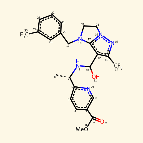 COC(=O)c1ccc([C@H](C)NC(O)c2c(C(F)(F)F)nn3c2N(Cc2cccc(C(F)(F)F)c2)CC3)nc1